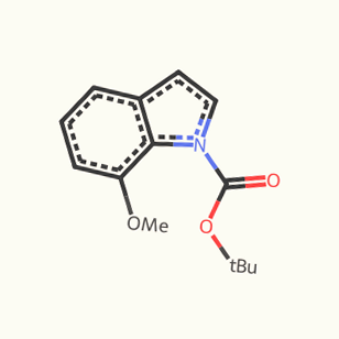 COc1cccc2ccn(C(=O)OC(C)(C)C)c12